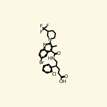 Cc1c(N2CCCC(C(F)(F)F)C2)nc2ccc(Br)cc2c1C(=O)NCC(CCC(=O)O)c1ccccc1Cl